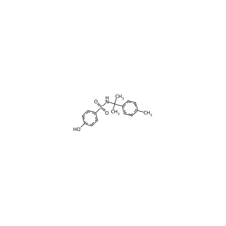 Cc1ccc(C(C)(C)NS(=O)(=O)c2ccc(O)cc2)cc1